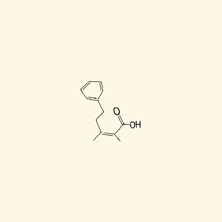 CC(CCc1ccccc1)=C(C)C(=O)O